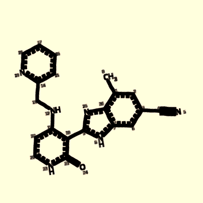 Cc1cc(C#N)cc2[nH]c(-c3c(NCc4ccccn4)cc[nH]c3=O)nc12